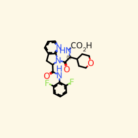 O=C(O)N[C@H](C(=O)N1c2ncccc2CC1C(=O)Nc1c(F)cccc1F)C1CCOCC1